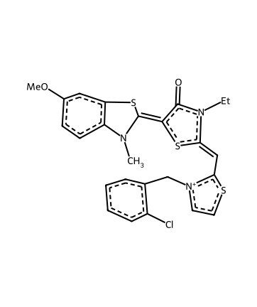 CCn1c(=O)/c(=C2\Sc3cc(OC)ccc3N2C)s/c1=C\c1scc[n+]1Cc1ccccc1Cl